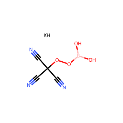 N#CC(C#N)(C#N)OOB(O)O.[KH]